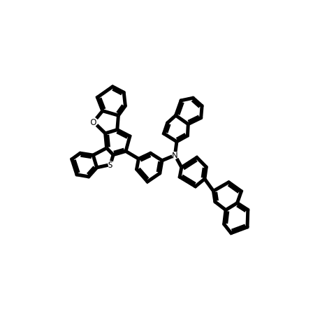 c1cc(-c2cc3c4ccccc4oc3c3c2sc2ccccc23)cc(N(c2ccc(-c3ccc4ccccc4c3)cc2)c2ccc3ccccc3c2)c1